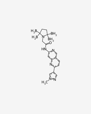 BC1(B)CCC(B)(B)N1CC(=O)Nc1cc2nc(-c3cnn(C)c3)ccc2cn1